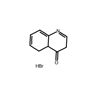 Br.O=C1CC=NC2=CC=CCC12